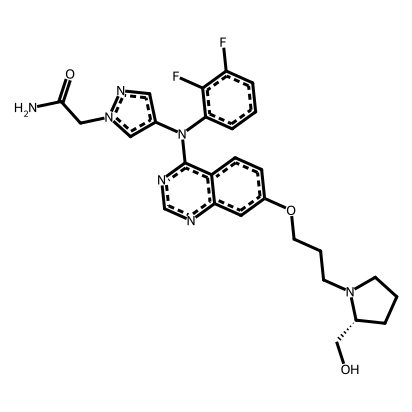 NC(=O)Cn1cc(N(c2cccc(F)c2F)c2ncnc3cc(OCCCN4CCC[C@@H]4CO)ccc23)cn1